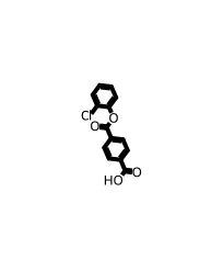 O=C(O)c1ccc(C(=O)Oc2ccccc2Cl)cc1